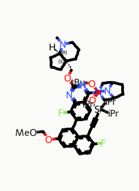 COCOc1cc(-c2ccc3c(N4CC5CCC(C4)N5C(=O)OC(C)(C)C)nc(OC[C@]45CCC[C@H]4N(C)CCC5)nc3c2F)c2c(C#C[Si](C(C)C)(C(C)C)C(C)C)c(F)ccc2c1